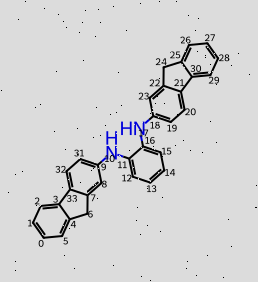 c1ccc2c(c1)Cc1cc(Nc3ccccc3Nc3ccc4c(c3)Cc3ccccc3-4)ccc1-2